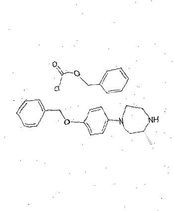 C[C@@H]1CN(c2ccc(OCc3ccccc3)cc2)CCN1.O=C(Cl)OCc1ccccc1